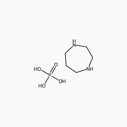 C1CNCCNC1.O=P(O)(O)O